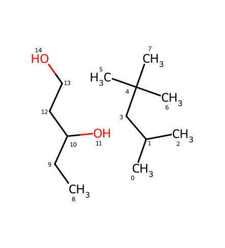 CC(C)CC(C)(C)C.CCC(O)CCO